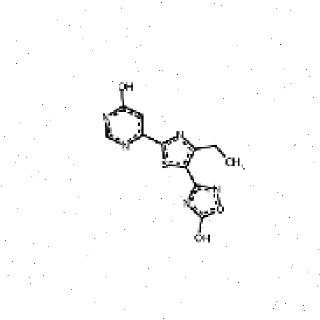 CCc1nc(-c2cc(O)ncn2)sc1-c1noc(O)n1